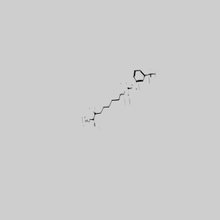 CNC(=O)C(=O)CCCCCCNC(=O)Nc1cccc(C(F)(F)F)c1